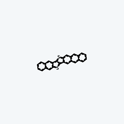 c1ccc2cc3cc4c(cc3cc2c1)sc1c2cc3ccccc3cc2sc41